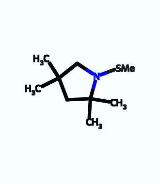 CSN1CC(C)(C)CC1(C)C